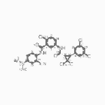 CC(=O)N(C(C)=O)c1ccc(NC(=O)c2cc(NC(=O)[C@@H]3[C@@H](c4cc(Cl)cc(Cl)c4)C3(Cl)Cl)ccc2Cl)c(C#N)c1